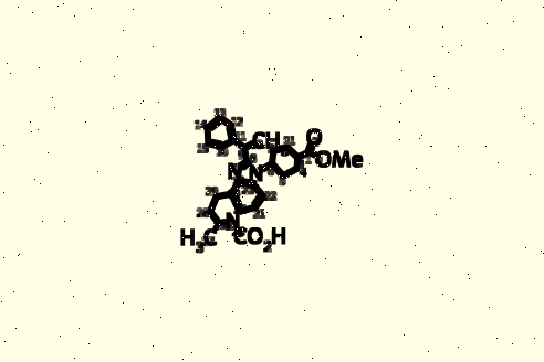 COC(=O)C1CCC(n2c(C(C)c3ccccc3)nc3c4c(ccc32)N(C(=O)O)[C@@H](C)CC4)CC1